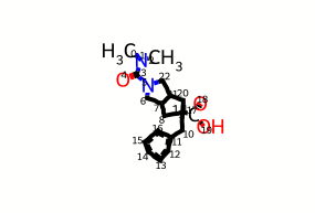 CN(C)C(=O)N1CC2CC(Cc3ccccc3)([14C](=O)O)CC2C1